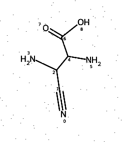 N#CC(N)C(N)C(=O)O